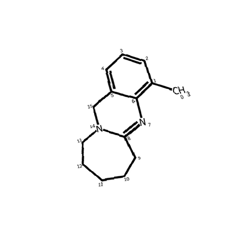 Cc1cccc2c1N=C1CCCCCN1C2